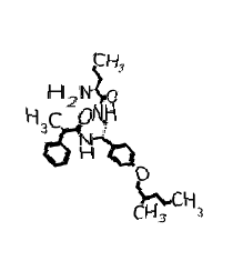 CCCC(C)COc1ccc([C@@H](CNC(=O)[C@H](N)CCC)NC(=O)[C@@H](C)c2ccccc2)cc1